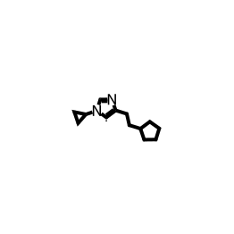 [c]1c(CCC2CCCC2)ncn1C1CC1